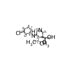 CC(C)c1c(Nc2cccc(Cl)c2)cncc1C(=O)O